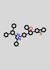 c1ccc(-c2cc(-c3ccccc3)cc(-c3cc(-c4ccccc4)nc(-c4ccc(-c5ccc(-c6ccc7c(c6)sc6ccccc67)c6oc7ccccc7c56)cc4)n3)c2)cc1